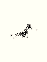 Nc1noc2ccc(-c3cnc([AsH]C[C@H](N)Cc4ccc(C(F)(F)F)cc4)s3)cc12